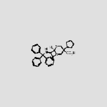 O=C1C(NC(c2ccccc2)(c2ccccc2)c2ccccc2)[C@H]2SCC(C(=O)O)(C3CCCC3)CN12